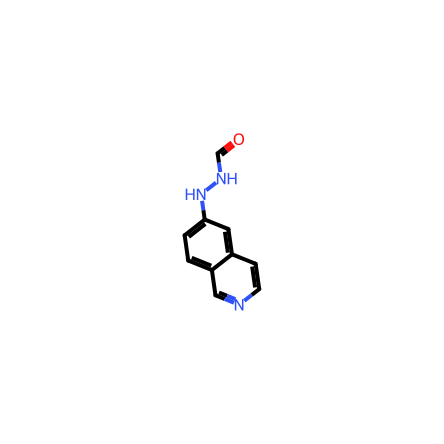 O=CNNc1ccc2cnccc2c1